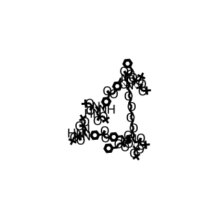 CC(C)(C)OC(=O)C[C@@H](C(=O)OC(C)(C)C)N(CCOCCOCCOCCOCCN([C@@H](CC(=O)OC(C)(C)C)C(=O)OC(C)(C)C)S(=O)(=O)N(Cc1ccc(OC(=O)c2ccc(NC(=NC(=O)OC(C)(C)C)NC(=O)OC(C)(C)C)cc2)cc1)C(=O)OCc1ccccc1)S(=O)(=O)N(Cc1ccc(OC(=O)c2ccc(NC(=NC(=O)OC(C)(C)C)NC(=O)OC(C)(C)C)cc2)cc1)C(=O)OCc1ccccc1